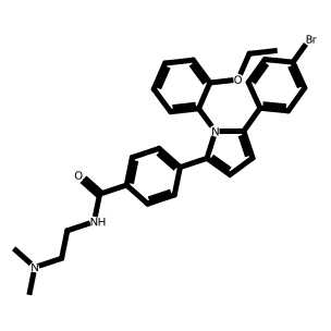 CCOc1ccccc1-n1c(-c2ccc(Br)cc2)ccc1-c1ccc(C(=O)NCCN(C)C)cc1